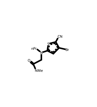 CCCN(CC(=O)NC)c1cc(Br)c(C#N)s1